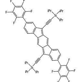 CC(C)[Si](C#CC1=c2cc3c(cc2-c2ccc(-c4c(F)c(F)c(F)c(F)c4F)cc21)=C(C#C[Si](C(C)C)(C(C)C)C(C)C)c1cc(-c2c(F)c(F)c(F)c(F)c2F)ccc1-3)(C(C)C)C(C)C